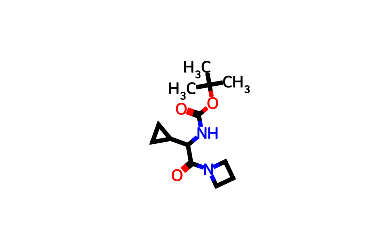 CC(C)(C)OC(=O)NC(C(=O)N1CCC1)C1CC1